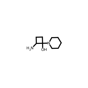 NC1CCC1(O)N1CCCCC1